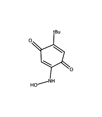 CC(C)(C)C1=CC(=O)C(NO)=CC1=O